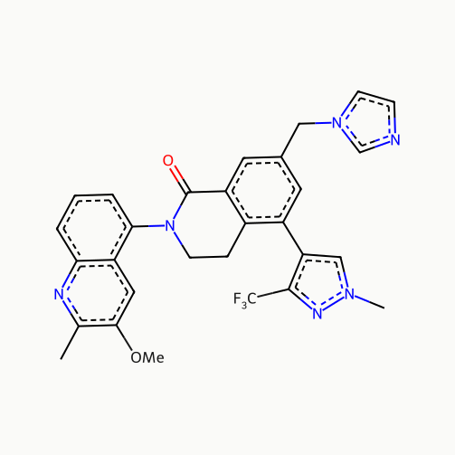 COc1cc2c(N3CCc4c(cc(Cn5ccnc5)cc4-c4cn(C)nc4C(F)(F)F)C3=O)cccc2nc1C